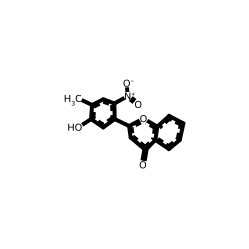 Cc1cc([N+](=O)[O-])c(-c2cc(=O)c3ccccc3o2)cc1O